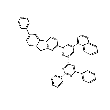 c1ccc(-c2ccc3c(c2)-c2ccc(-c4cc(-c5nc(-c6ccccc6)nc(-c6ccccc6)n5)cc(-c5ccnc6ccccc56)c4)cc2C3)cc1